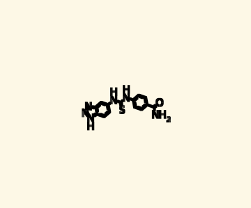 NC(=O)c1ccc(NC(=S)Nc2ccc3[nH]nnc3c2)cc1